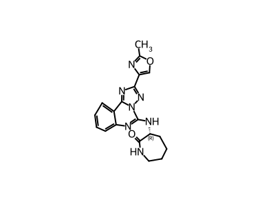 Cc1nc(-c2nc3c4ccccc4nc(N[C@@H]4CCCCNC4=O)n3n2)co1